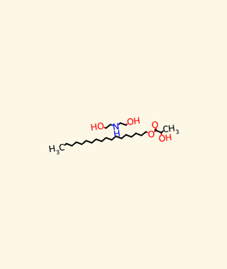 CCCCCCCCCCCCCCCCCCOC(=O)C(C)O.OCCNCCO